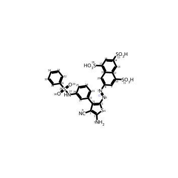 N#Cc1c(N)sc(/N=N/c2cc(S(=O)(=O)O)c3cc(S(=O)(=O)O)cc(S(=O)(=O)O)c3c2)c1-c1cccc(NS(=O)(=O)c2ccccc2)c1